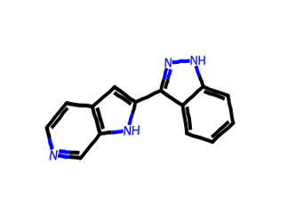 c1ccc2c(-c3cc4ccncc4[nH]3)n[nH]c2c1